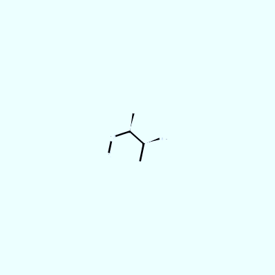 CCCN[C@@H](C)[C@H](C)C(C)CC